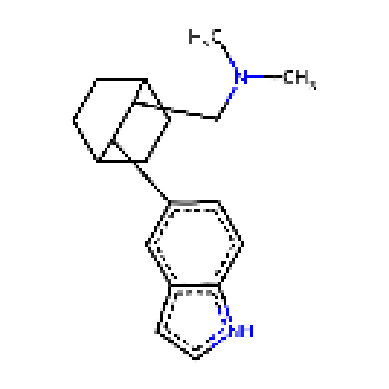 CN(C)CC1C2CCC(CC2)C1c1ccc2[nH]ccc2c1